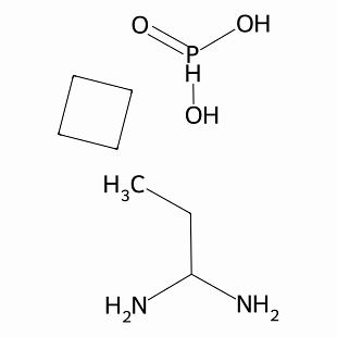 C1CCC1.CCC(N)N.O=[PH](O)O